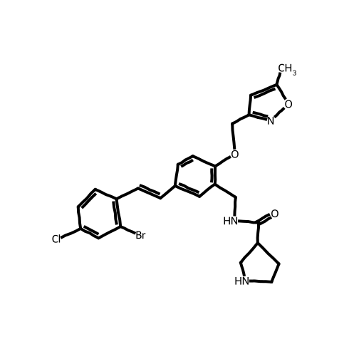 Cc1cc(COc2ccc(/C=C/c3ccc(Cl)cc3Br)cc2CNC(=O)C2CCNC2)no1